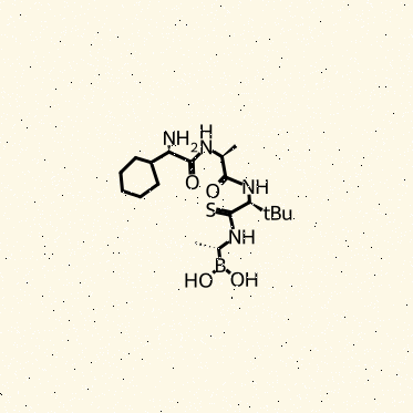 C[C@H](NC(=S)[C@@H](NC(=O)[C@H](C)NC(=O)[C@@H](N)C1CCCCC1)C(C)(C)C)B(O)O